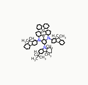 CC(C)(C)c1ccc2c(c1)C1(C)CCCCC1(C)N2c1cc2c3c(c1)N(c1ccc4c(c1)C(C)(C)c1ccccc1-4)c1cccc4c1B3c1c(cccc1[Si]4(c1ccccc1)c1ccccc1)N2c1ccc2c(c1)C(C)(C)c1ccccc1-2